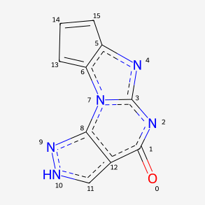 O=c1nc2nc3c(n2c2n[nH]cc12)=CC=C3